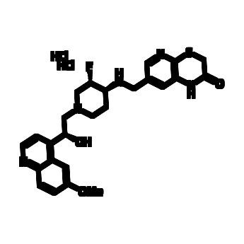 COc1ccc2nccc([C@H](O)CN3CC[C@H](NCc4cnc5c(c4)NC(=O)CS5)[C@@H](F)C3)c2c1.Cl.Cl